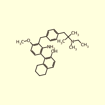 CCN(C)C(C)(C)Cc1ccc(Cc2c(OC)ccc(-c3c(O)ccc4c3CCCC4)c2N)cc1